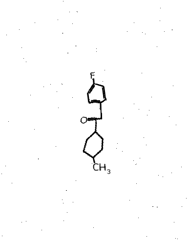 CC1CCC(C(=O)Cc2ccc(F)cc2)CC1